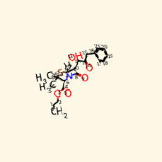 C=CCOC(=O)[C@@H]1N2C(=O)[C@@H]([C@H](O)C(=O)Cc3ccccc3)[C@H]2SC1(C)C